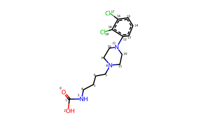 O=C(O)NCCCCN1CCN(c2cccc(Cl)c2Cl)CC1